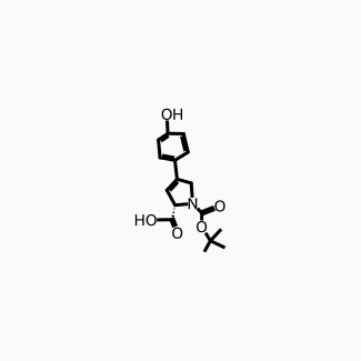 CC(C)(C)OC(=O)N1CC(c2ccc(O)cc2)=C[C@H]1C(=O)O